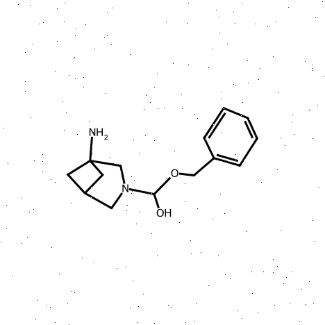 NC12CC(CN(C(O)OCc3ccccc3)C1)C2